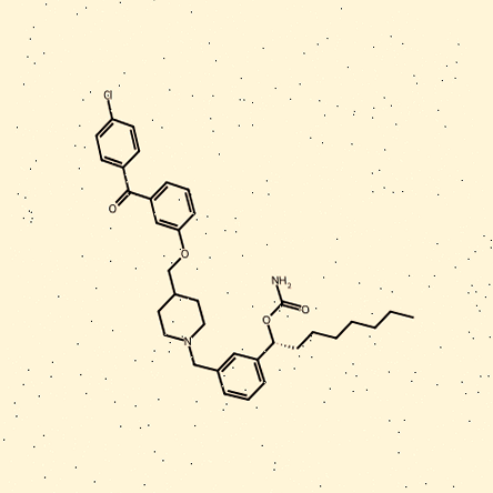 CCCCCCC[C@@H](OC(N)=O)c1cccc(CN2CCC(COc3cccc(C(=O)c4ccc(Cl)cc4)c3)CC2)c1